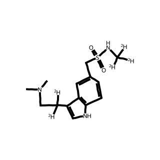 [2H]C([2H])([2H])NS(=O)(=O)Cc1ccc2[nH]cc(C([2H])([2H])CN(C)C)c2c1